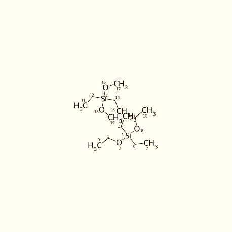 CCO[Si](CC)(CC)OCC.CC[Si](CC)(OC)OC